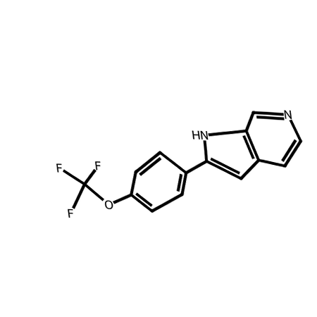 FC(F)(F)Oc1ccc(-c2cc3ccncc3[nH]2)cc1